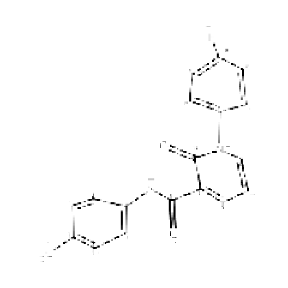 Cc1ccc(NC(=O)c2cccn(-c3ccc(F)cc3)c2=O)cc1